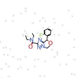 CCN(CC)C(=O)c1nc2n(n1)CCOC2c1ccccc1F